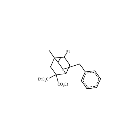 CCOC(=O)C1(C(=O)OCC)CC2(C)C(CC)CC1N(Cc1ccccc1)C2C